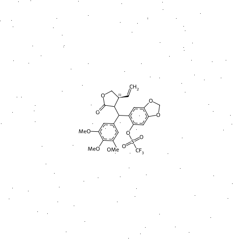 C=C[C@@H]1COC(=O)C1C(c1cc(OC)c(OC)c(OC)c1)c1cc2c(cc1OS(=O)(=O)C(F)(F)F)OCO2